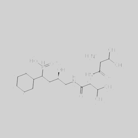 CC(C)[C@@H](N)C(=O)N[C@@H](C(=O)NC[C@H](O)CC(C1CCCCC1)[PH](=O)O)C(C)C